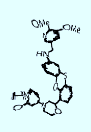 COc1cc(CNc2ccc3c(c2)Sc2cccc(C4CN(c5cc[nH]c(=O)c5)CCO4)c2O3)cnc1OC